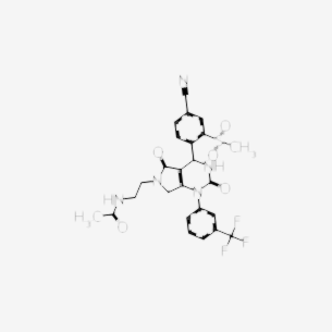 CC(=O)NCCN1CC2=C(C1=O)C(c1ccc(C#N)cc1S(C)(=O)=O)NC(=O)N2c1cccc(C(F)(F)F)c1